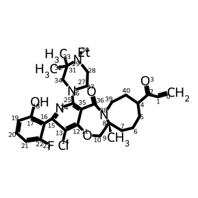 C=CC(=O)C1CCC[C@]2(C)COc3c(Cl)c(-c4c(O)cccc4F)nc(N4CCN(CC)C(C)(C)C4)c3C(=O)N2CC1